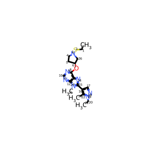 CCSN1CC[C@H](Oc2ncnc3c2nc(-c2cnn(CC)c2C)n3C)C1